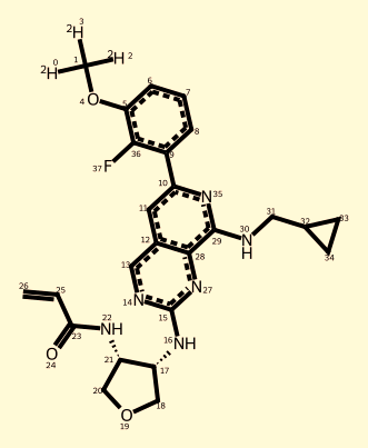 [2H]C([2H])([2H])Oc1cccc(-c2cc3cnc(N[C@@H]4COC[C@@H]4NC(=O)C=C)nc3c(NCC3CC3)n2)c1F